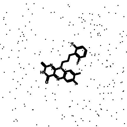 C=c1nc2c(c(=O)[nH]1)=Nc1cc(C)c(C)cc1N2CCCc1c(F)cccc1F